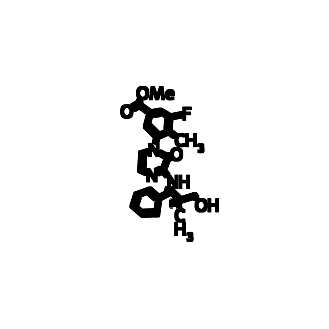 COC(=O)c1cc(F)c(C)c(-n2ccnc(N[C@@H](c3ccccc3)[C@@H](C)CO)c2=O)c1